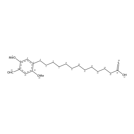 COc1cc(CCCCCCCCCCCCC(O)=S)c(OC)cc1C=O